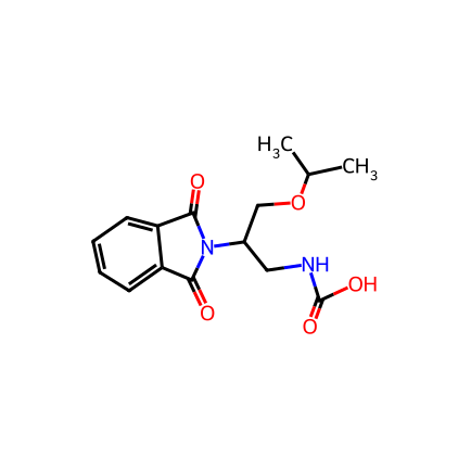 CC(C)OCC(CNC(=O)O)N1C(=O)c2ccccc2C1=O